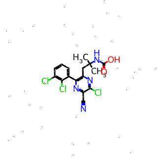 CC(C)(Cc1nc(Cl)c(C#N)nc1-c1cccc(Cl)c1Cl)NC(=O)O